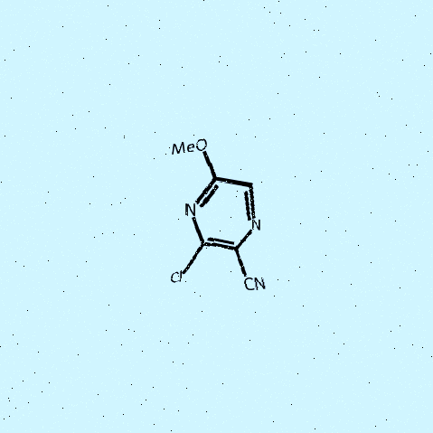 COc1cnc(C#N)c(Cl)n1